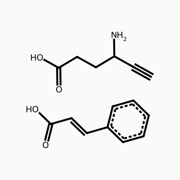 C#CC(N)CCC(=O)O.O=C(O)C=Cc1ccccc1